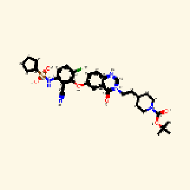 CC(C)(C)OC(=O)N1CCC(CCn2cnc3ccc(Oc4c(F)ccc(NS(=O)(=O)C5CCCC5)c4C#N)cc3c2=O)CC1